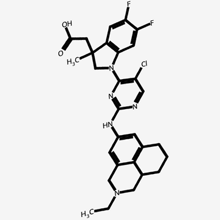 CCN1Cc2cc(Nc3ncc(Cl)c(N4CC(C)(CC(=O)O)c5cc(F)c(F)cc54)n3)cc3c2C(CCC3)C1